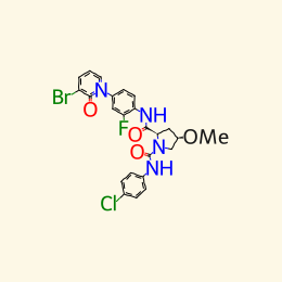 CO[C@@H]1C[C@H](C(=O)Nc2ccc(-n3cccc(Br)c3=O)cc2F)N(C(=O)Nc2ccc(Cl)cc2)C1